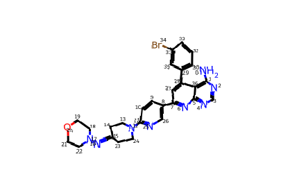 Nc1ncnc2nc(-c3ccc(N4CCC(=NN5CCOCC5)CC4)nc3)cc(-c3cccc(Br)c3)c12